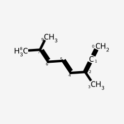 C=C=C(C)C=CC=C(C)C